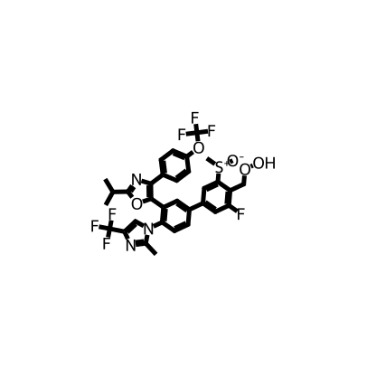 Cc1nc(C(F)(F)F)cn1-c1ccc(-c2cc(F)c(COO)c([S+](C)[O-])c2)cc1-c1oc(C(C)C)nc1-c1ccc(OC(F)(F)F)cc1